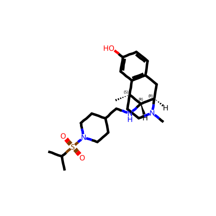 CC(C)S(=O)(=O)N1CCC(CN[C@H]2[C@H]3Cc4ccc(O)cc4[C@]2(C)CCN3C)CC1